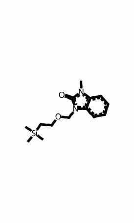 Cn1c(=O)n(COCC[Si](C)(C)C)c2ccccc21